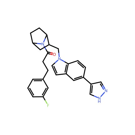 O=C(CCc1cccc(F)c1)N1C2CCC1C(Cn1ccc3cc(-c4cn[nH]c4)ccc31)C2